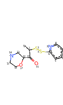 CC(SSc1ccccn1)C(=O)C1C[N]CCO1